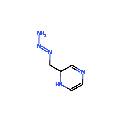 NN=NCC1C=NC=CN1